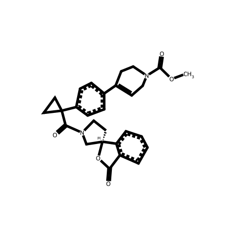 COC(=O)N1CC=C(c2ccc(C3(C(=O)N4CC[C@@]5(C4)OC(=O)c4ccccc45)CC3)cc2)CC1